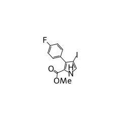 COC(=O)c1[nH]cc(I)c1-c1ccc(F)cc1